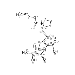 C=CCOC(=O)N1CCC[C@@H]1C=C(C)C1=C(C(=O)O)N2C(=O)[C@H]([C@@H](C)O)[C@H]2C1